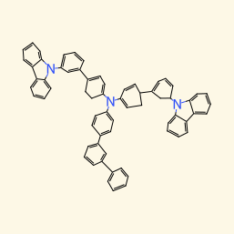 C1=CC(n2c3ccccc3c3ccccc32)CC(C2C=CC(N(C3=CC=C(c4cccc(-n5c6ccccc6c6ccccc65)c4)CC3)c3ccc(-c4cccc(-c5ccccc5)c4)cc3)=CC2)=C1